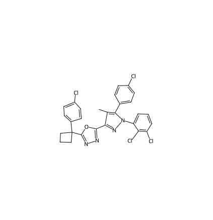 Cc1c(-c2nnc(C3(c4ccc(Cl)cc4)CCC3)o2)nn(-c2cccc(Cl)c2Cl)c1-c1ccc(Cl)cc1